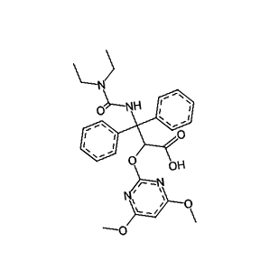 CCN(CC)C(=O)NC(c1ccccc1)(c1ccccc1)C(Oc1nc(OC)cc(OC)n1)C(=O)O